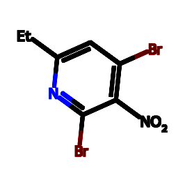 CCc1cc(Br)c([N+](=O)[O-])c(Br)n1